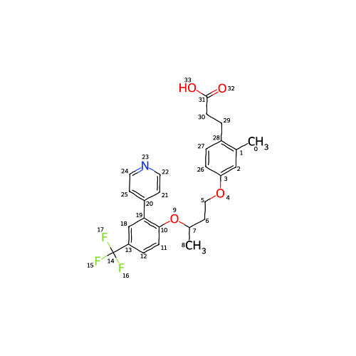 Cc1cc(OCCC(C)Oc2ccc(C(F)(F)F)cc2-c2ccncc2)ccc1CCC(=O)O